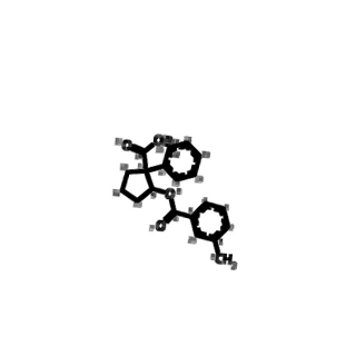 Cc1cccc(C(=O)OC2CCCC2(C(=O)OCC(C)C)c2ccccc2)c1